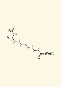 [CH2]CCCCC(=O)CCCCCCCCC(C)CC(C)CC